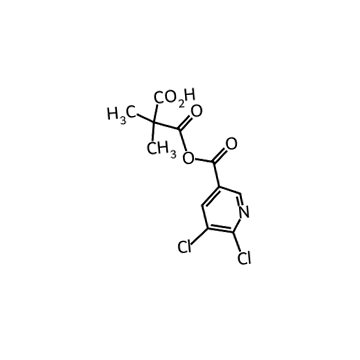 CC(C)(C(=O)O)C(=O)OC(=O)c1cnc(Cl)c(Cl)c1